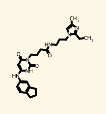 CCc1nc(C)cn1CCCNC(=O)CCCn1c(=O)cc(Nc2ccc3c(c2)CCC3)[nH]c1=O